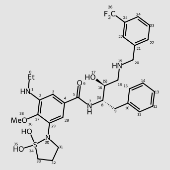 CCNc1cc(C(=O)N[C@@H](Cc2ccccc2)[C@@H](O)CNCc2cccc(C(F)(F)F)c2)cc(N2CCCS2(O)O)c1OC